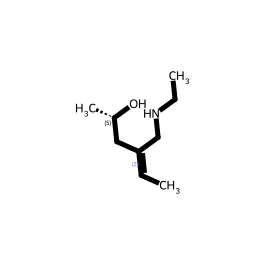 C/C=C(\CNCC)C[C@H](C)O